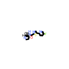 C[C@H]1[C@H](NC(=O)c2ncc(-c3ccc(F)cn3)s2)C2CCN1CC2